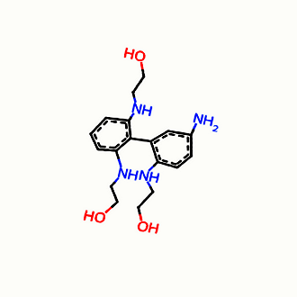 Nc1ccc(NCCO)c(-c2c(NCCO)cccc2NCCO)c1